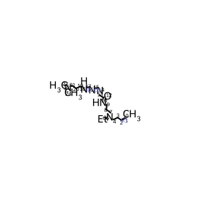 C/C=C\CCN(CC)CCCNC(=O)C/N=C\N=C\NCCCN(C)C